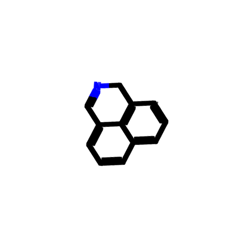 [c]1ccc2cccc3c2c1CN=C3